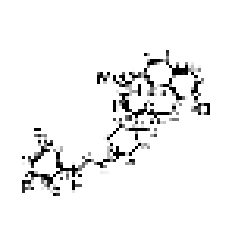 COc1ccc2ncc(Cl)c(CCCC3(C(=O)NO)CCN(CCNc4cc(F)cc(F)c4F)CC3)c2c1